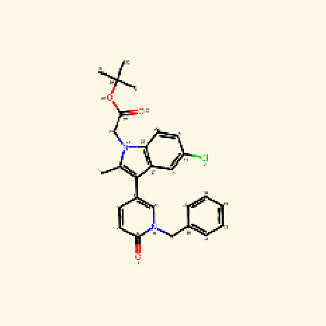 Cc1c(-c2ccc(=O)n(Cc3ccccc3)c2)c2cc(Cl)ccc2n1CC(=O)OC(C)(C)C